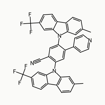 Cc1ccc2c3ccc(C(F)(F)F)cc3n(-c3cc(-c4ccncc4)c(-n4c5cc(C)ccc5c5ccc(C(F)(F)F)cc54)cc3C#N)c2c1